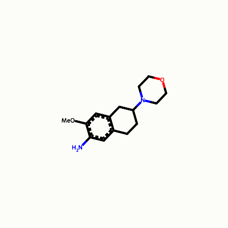 COc1cc2c(cc1N)CCC(N1CCOCC1)C2